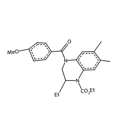 CCOC(=O)N1c2cc(C)c(C)cc2N(C(=O)c2ccc(OC)cc2)CC1CC